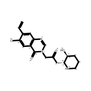 C=Cc1cc2ncn(CC(=O)C[C@H]3NCCC[C@@H]3O)c(=O)c2cc1Cl